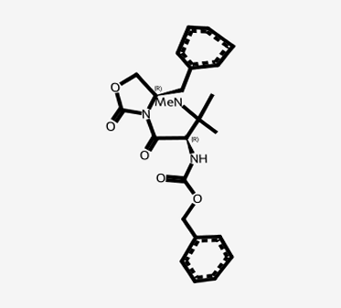 CNC(C)(C)[C@@H](NC(=O)OCc1ccccc1)C(=O)N1C(=O)OC[C@H]1Cc1ccccc1